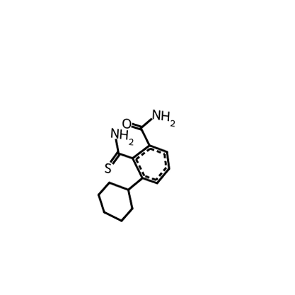 NC(=O)c1cccc(C2CCCCC2)c1C(N)=S